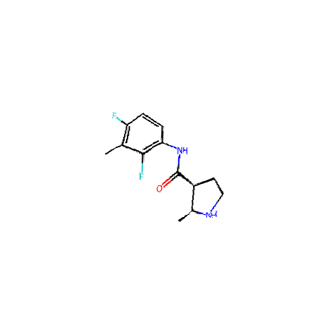 Cc1c(F)ccc(NC(=O)[C@H]2CCN[C@H]2C)c1F